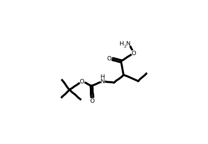 CCC(CNC(=O)OC(C)(C)C)C(=O)ON